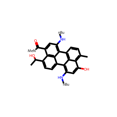 CCCCNc1cc(O)c2c(C)ccc3c4c(NCCCC)cc(C(=O)NC)c5c(C(C)O)ccc(c1c23)c54